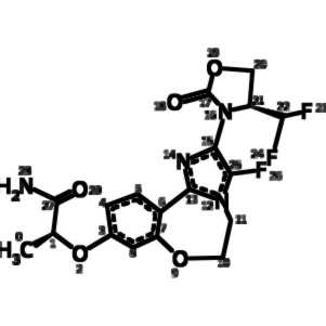 C[C@H](Oc1ccc2c(c1)OCCn1c-2nc(N2C(=O)OC[C@H]2C(F)F)c1F)C(N)=O